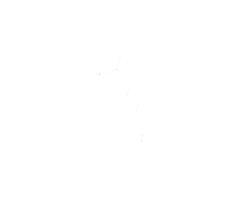 CCCCCCCCC(CCC)OCCOOS(=O)(=O)O